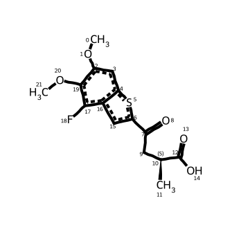 COc1cc2sc(C(=O)C[C@H](C)C(=O)O)cc2c(F)c1OC